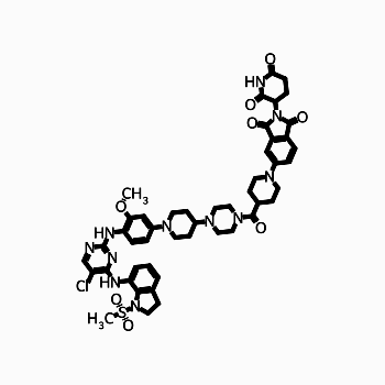 COc1cc(N2CCC(N3CCN(C(=O)C4CCN(c5ccc6c(c5)C(=O)N(C5CCC(=O)NC5=O)C6=O)CC4)CC3)CC2)ccc1Nc1ncc(Cl)c(Nc2cccc3c2N(S(C)(=O)=O)CC3)n1